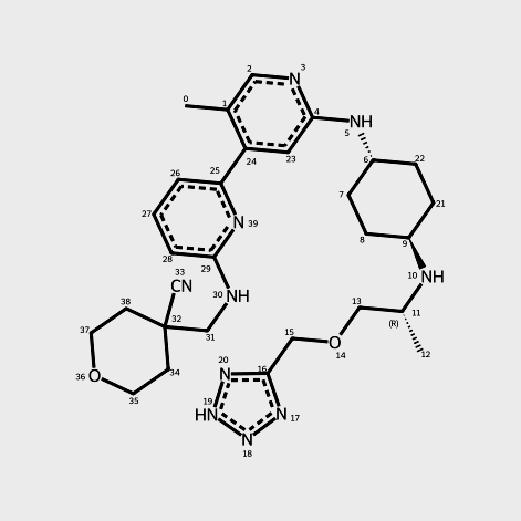 Cc1cnc(N[C@H]2CC[C@H](N[C@H](C)COCc3nn[nH]n3)CC2)cc1-c1cccc(NCC2(C#N)CCOCC2)n1